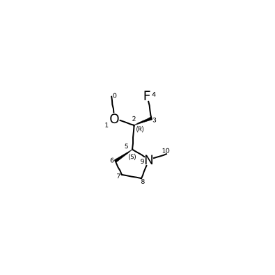 CO[C@@H](CF)[C@@H]1CCCN1C